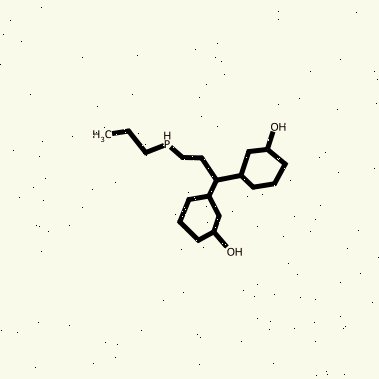 CCCPCCC(C1CCCC(O)C1)C1CCCC(O)C1